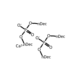 CCCCCCCCCCOP(=O)([O-])OCCCCCCCCCC.CCCCCCCCCCOP(=O)([O-])OCCCCCCCCCC.[Ca+2]